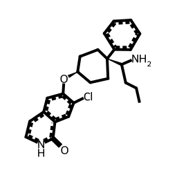 CCCC(N)[C@]1(c2ccccc2)CC[C@H](Oc2cc3cc[nH]c(=O)c3cc2Cl)CC1